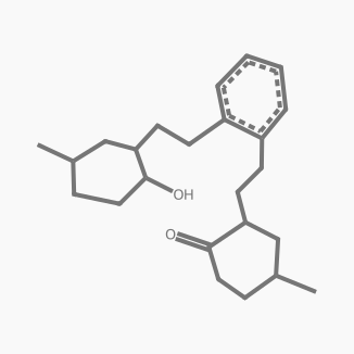 CC1CCC(=O)C(CCc2ccccc2CCC2CC(C)CCC2O)C1